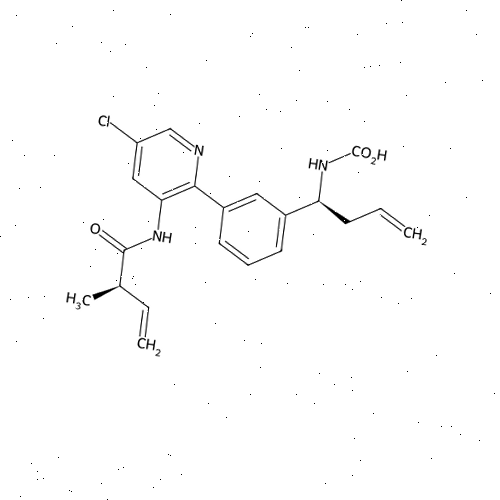 C=CC[C@H](NC(=O)O)c1cccc(-c2ncc(Cl)cc2NC(=O)[C@H](C)C=C)c1